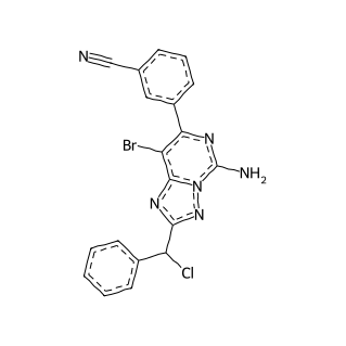 N#Cc1cccc(-c2nc(N)n3nc(C(Cl)c4ccccc4)nc3c2Br)c1